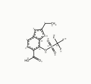 CCc1nc2cnc(C(=O)O)c(OS(=O)(=O)C(F)(F)F)c2s1